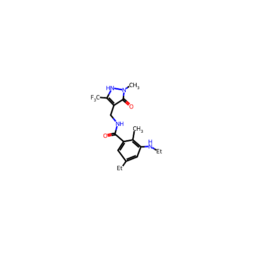 CCNc1cc(CC)cc(C(=O)NCc2c(C(F)(F)F)[nH]n(C)c2=O)c1C